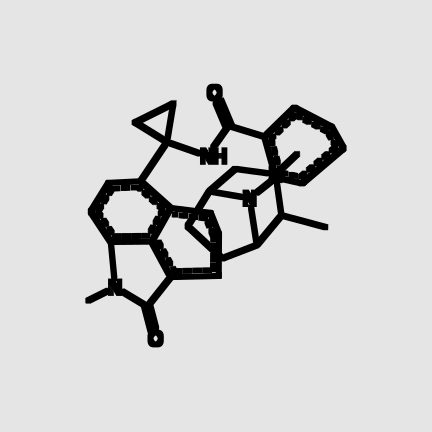 CC1C2CCC(CN1C)N2c1ccccc1C(=O)NC1(c2ccc3c4c(cccc24)C(=O)N3C)CC1